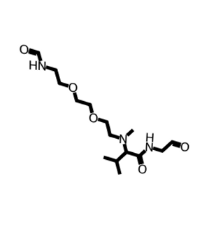 CC(C)C(C(=O)NCC=O)N(C)CCOCCOCCNC=O